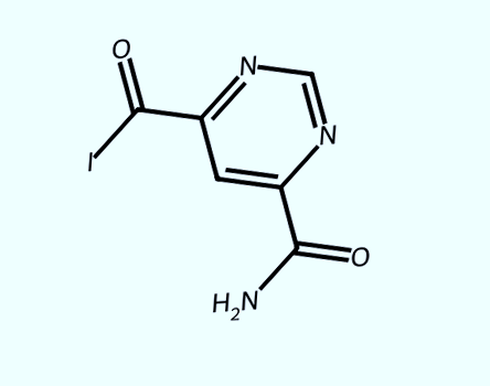 NC(=O)c1cc(C(=O)I)ncn1